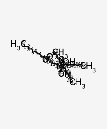 CCCCCCCCCCCOC(=O)CCCCCN(CCO)C(CCCCCC)(C(=O)O)C(CCCCCCCC)CCCCCCCC